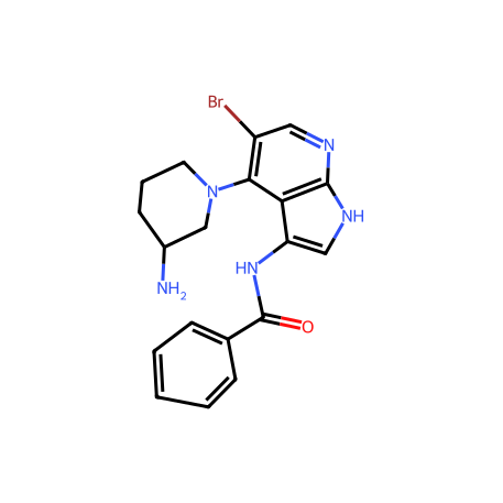 NC1CCCN(c2c(Br)cnc3[nH]cc(NC(=O)c4ccccc4)c23)C1